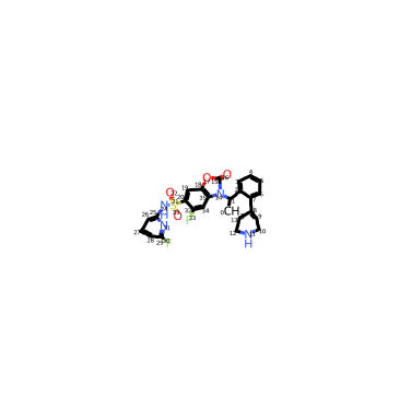 CC(c1ccccc1C1=CCNCC1)n1c(=O)oc2cc(S(=O)(=O)Nc3cccc(F)n3)c(F)cc21